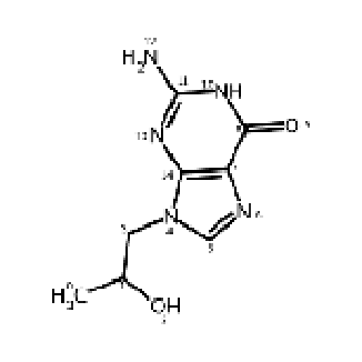 CC(O)Cn1cnc2c(=O)[nH]c(N)nc21